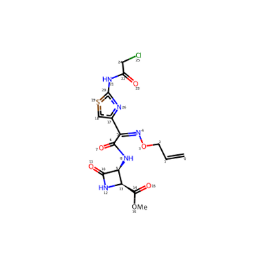 C=CCON=C(C(=O)N[C@@H]1C(=O)N[C@@H]1C(=O)OC)c1csc(NC(=O)CCl)n1